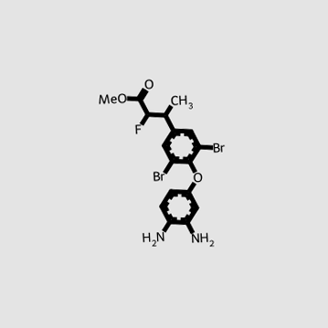 COC(=O)C(F)C(C)c1cc(Br)c(Oc2ccc(N)c(N)c2)c(Br)c1